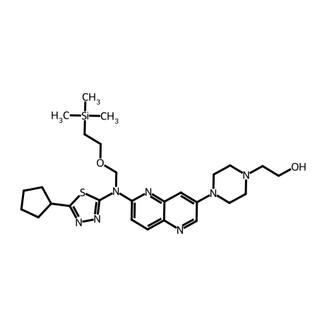 C[Si](C)(C)CCOCN(c1ccc2ncc(N3CCN(CCO)CC3)cc2n1)c1nnc(C2CCCC2)s1